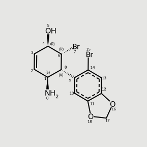 N[C@H]1C=C[C@@H](O)[C@H](Br)[C@@H]1c1cc2c(cc1Br)OCO2